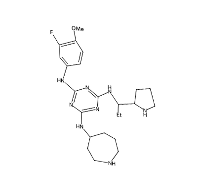 CCC(Nc1nc(Nc2ccc(OC)c(F)c2)nc(NC2CCCNCC2)n1)C1CCCN1